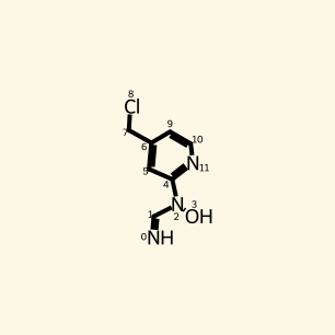 N=CN(O)c1cc(CCl)ccn1